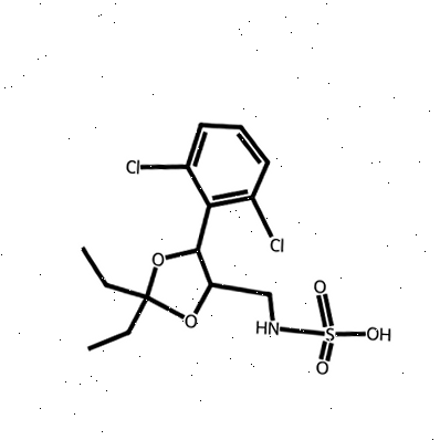 CCC1(CC)OC(CNS(=O)(=O)O)C(c2c(Cl)cccc2Cl)O1